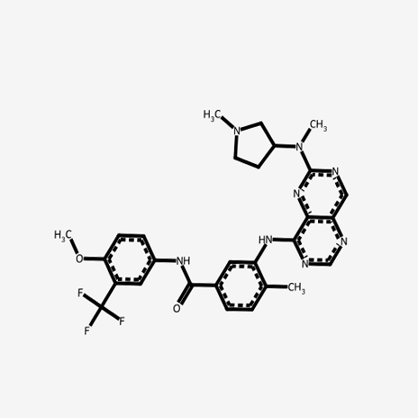 COc1ccc(NC(=O)c2ccc(C)c(Nc3ncnc4cnc(N(C)C5CCN(C)C5)nc34)c2)cc1C(F)(F)F